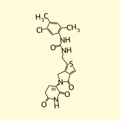 Cc1cc(C)c(NC(=O)NCc2scc3c2CN([C@@H]2CCC(=O)NC2=O)C3=O)cc1Cl